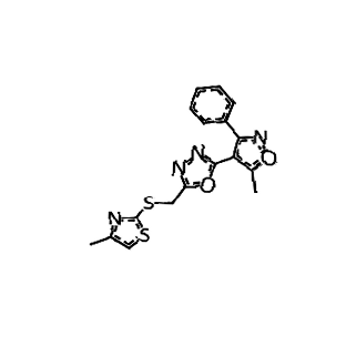 Cc1csc(SCc2nnc(-c3c(-c4ccccc4)noc3C)o2)n1